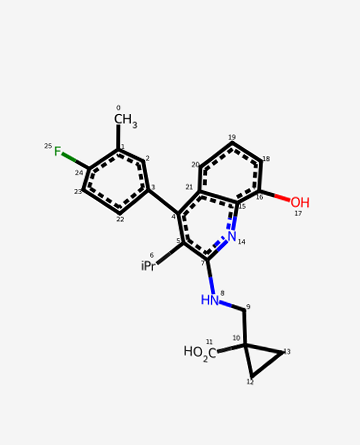 Cc1cc(-c2c(C(C)C)c(NCC3(C(=O)O)CC3)nc3c(O)cccc23)ccc1F